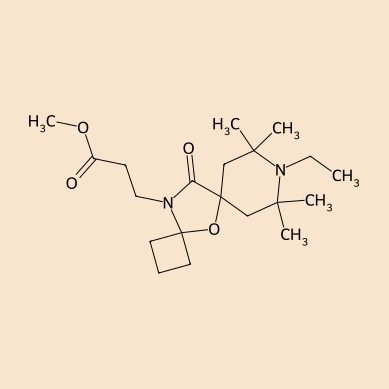 CCN1C(C)(C)CC2(CC1(C)C)OC1(CCC1)N(CCC(=O)OC)C2=O